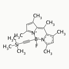 CC1=CC(C)=[N+]2C1=C(C)c1c(C)cc(C)n1[B-]2(F)C#C[Si](C)(C)C